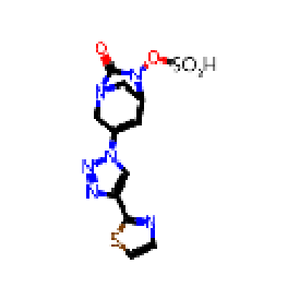 O=C1N2CC(n3cc(-c4nccs4)nn3)=CC(C2)N1OS(=O)(=O)O